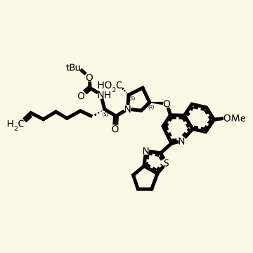 C=CCCCCC[C@H](NC(=O)OC(C)(C)C)C(=O)N1C[C@H](Oc2cc(-c3nc4c(s3)CCC4)nc3cc(OC)ccc23)C[C@H]1C(=O)O